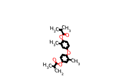 C=C(C)C(=O)Oc1ccc(Oc2ccc(OC(=O)C(=C)C)c(C)c2)c(C)c1